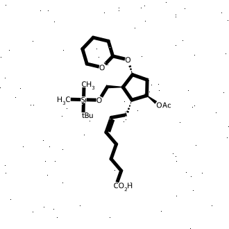 CC(=O)O[C@@H]1C[C@@H](OC2CCCCO2)[C@H](CO[Si](C)(C)C(C)(C)C)[C@H]1C/C=C\CCCC(=O)O